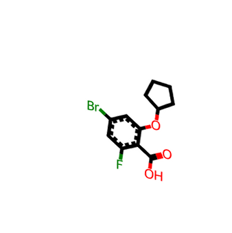 O=C(O)c1c(F)cc(Br)cc1OC1CCCC1